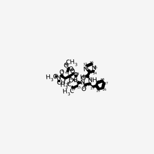 COC(=O)C[C@@]1(CC(=O)N(C)C)OB([C@H](CC(C)C)NC(=O)[C@H](Cc2ccccc2)NC(=O)c2cnccn2)OC1=O